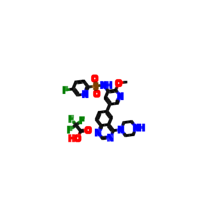 COc1ncc(-c2ccc3ncnc(N4CCNCC4)c3c2)cc1NS(=O)(=O)c1ccc(F)cn1.O=C(O)C(F)(F)F